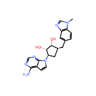 Cn1cnc2cc(C[C@H]3C[C@@H](n4ccc5c(N)ncnc54)[C@H](O)[C@@H]3O)ccc21